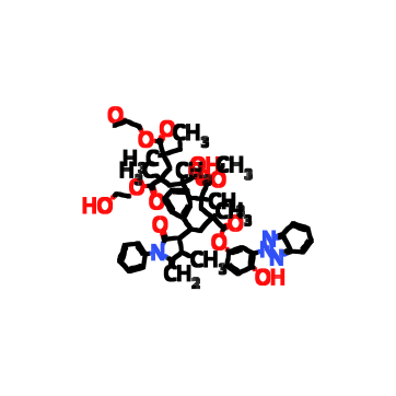 C=C1C(C)C(C(CC(C)(CC(C)(CC(C)(CC(C)(CC(C)(CC)C(=O)OCC2CO2)C(=O)OCCO)C(=O)O)C(=O)OC)C(=O)Oc2ccc(O)c(-n3nc4ccccc4n3)c2)c2ccccc2)C(=O)N1c1ccccc1